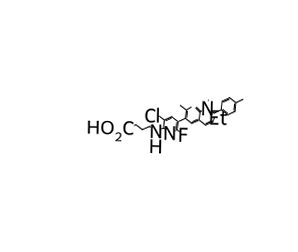 C=C(C(/C=C\CC)=C\C(=C(C)C)c1cc(Cl)c(NCCCC(=O)O)nc1F)N(C)Cc1ccc(C)cc1